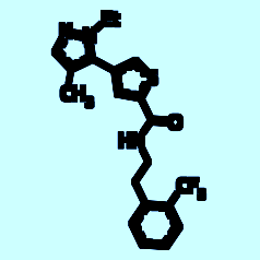 CCn1ncc(C)c1-c1csc(C(=O)NCCc2ccccc2C(F)(F)F)c1